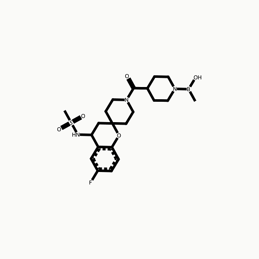 CB(O)N1CCC(C(=O)N2CCC3(CC2)CC(NS(C)(=O)=O)c2cc(F)ccc2O3)CC1